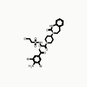 Nc1c(Br)cc(C(=O)C[C@H](NS(=O)(=O)CCCl)C(=O)N2CCC(N3CCc4ccccc4NC3=O)CC2)cc1Br